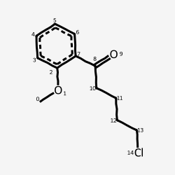 COc1ccccc1C(=O)CCCCCl